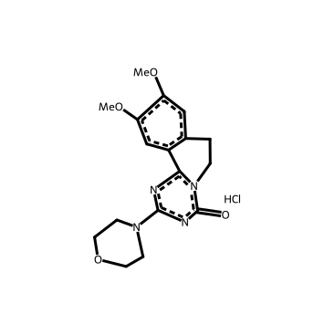 COc1cc2c(cc1OC)-c1nc(N3CCOCC3)nc(=O)n1CC2.Cl